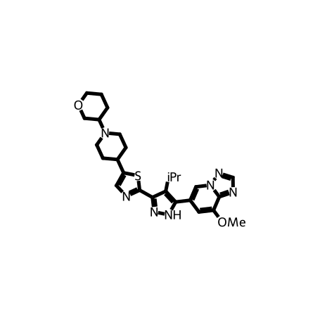 COc1cc(-c2[nH]nc(-c3ncc(C4CCN(C5CCCOC5)CC4)s3)c2C(C)C)cn2ncnc12